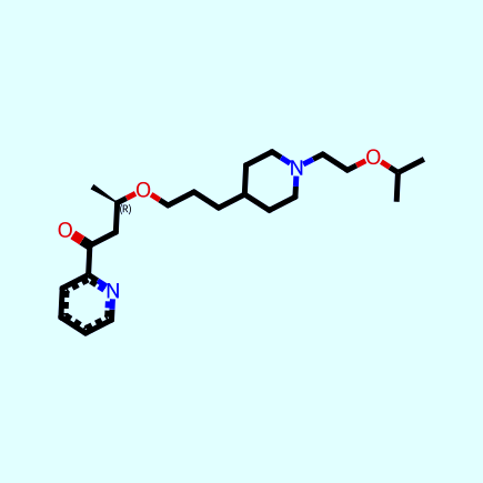 CC(C)OCCN1CCC(CCCO[C@H](C)CC(=O)c2ccccn2)CC1